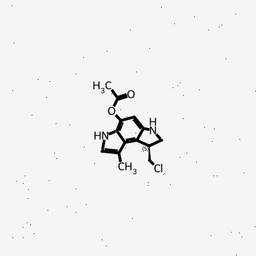 CC(=O)Oc1cc2c(c3c(C)c[nH]c13)[C@H](CCl)CN2